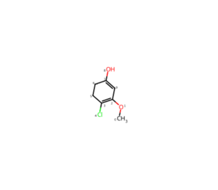 COC1=C(Cl)C[CH]C(O)=C1